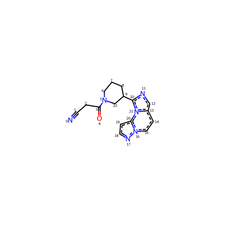 N#CCC(=O)N1CCCC(c2ncc3ccn4nccc4n23)C1